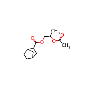 CC(=O)OC(C)COC(=O)C1CC2CCC1C2